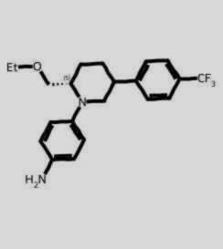 CCOC[C@@H]1CCC(c2ccc(C(F)(F)F)cc2)CN1c1ccc(N)cc1